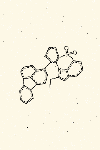 CCc1cc2cccc3c2n1-c1c(-c2ccc4c5c(cccc25)-c2ccccc2-4)cccc1S3(=O)=O